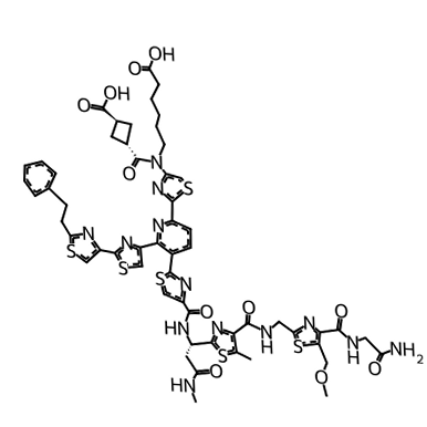 CNC(=O)C[C@H](NC(=O)c1csc(-c2ccc(-c3nc(N(CCCCCC(=O)O)C(=O)[C@H]4C[C@H](C(=O)O)C4)cs3)nc2-c2csc(-c3csc(CCc4ccccc4)n3)n2)n1)c1nc(C(=O)NCc2nc(C(=O)NCC(N)=O)c(COC)s2)c(C)s1